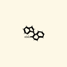 CCCCCCCCCCc1ccc2ccccc2c1[C]1C=Cc2ccccc21